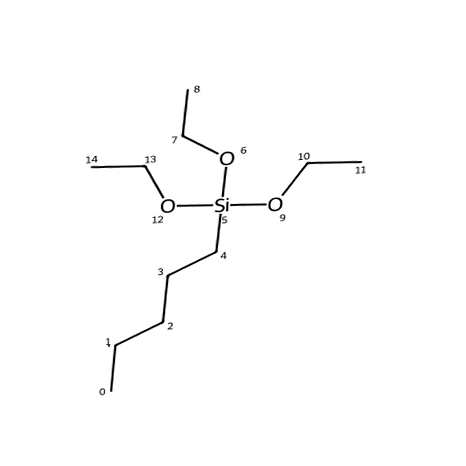 C[CH]CCC[Si](OCC)(OCC)OCC